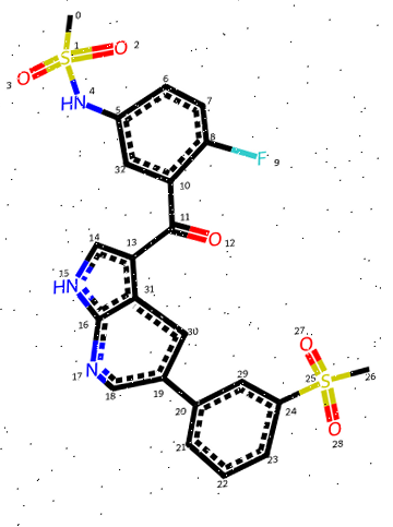 CS(=O)(=O)Nc1ccc(F)c(C(=O)c2c[nH]c3ncc(-c4cccc(S(C)(=O)=O)c4)cc23)c1